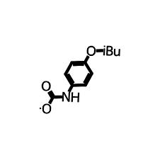 CCC(C)Oc1ccc(NC([O])=O)cc1